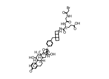 C[C@]12C=CC(=O)C=C1CC[C@@H]1[C@@H]2[C@@H](O)C[C@@]2(C)[C@H]1C[C@H]1O[C@@H](c3ccc(CC45C6C7C4C4C5C6C74NC(=O)[C@H](CCC(=O)O)NC(=O)CNC(=O)CBr)cc3)O[C@]12C(=O)CO